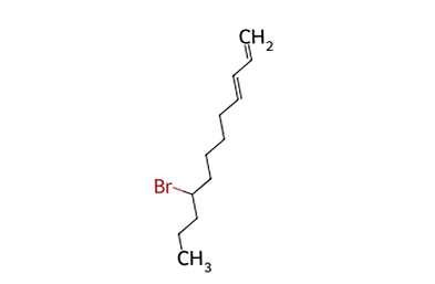 C=CC=CCCCCC(Br)CCC